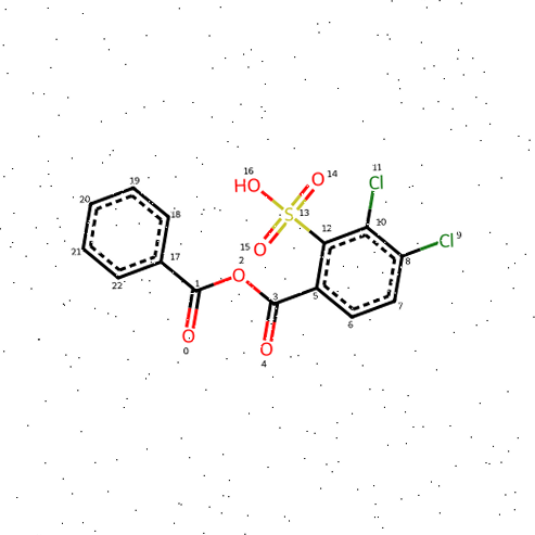 O=C(OC(=O)c1ccc(Cl)c(Cl)c1S(=O)(=O)O)c1ccccc1